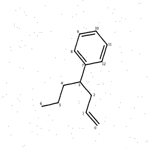 C=CCC(CCC)c1ccccc1